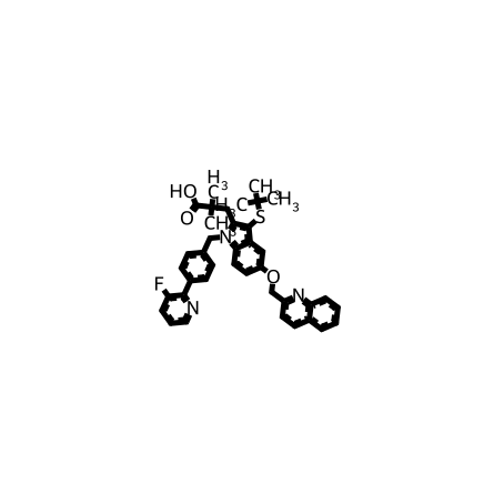 CC(C)(C)Sc1c(CC(C)(C)C(=O)O)n(Cc2ccc(-c3ncccc3F)cc2)c2ccc(OCc3ccc4ccccc4n3)cc12